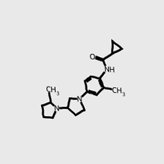 Cc1cc(N2CCC(N3CCCC3C)C2)ccc1NC(=O)C1CC1